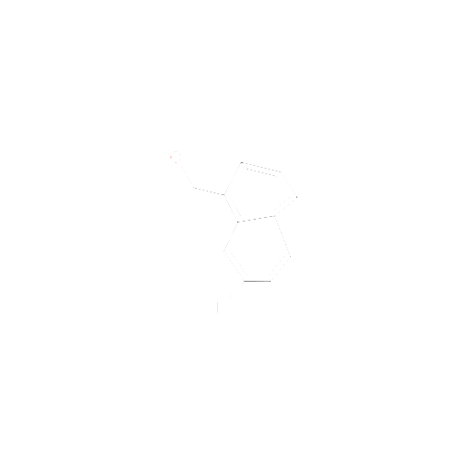 [O]Cc1cccc2ccc(F)cc12